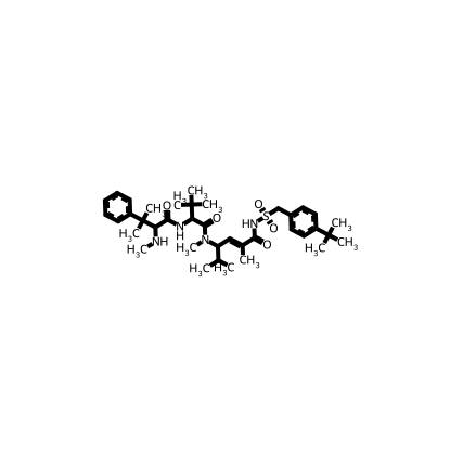 CNC(C(=O)NC(C(=O)N(C)C(C=C(C)C(=O)NS(=O)(=O)Cc1ccc(C(C)(C)C)cc1)C(C)C)C(C)(C)C)C(C)(C)c1ccccc1